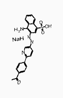 CC(=O)c1ccc(-c2ccc(/N=N/c3cc(S(=O)(=O)O)c4ccccc4c3N)cn2)cc1.[NaH]